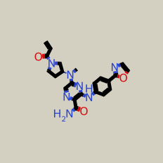 C=CC(=O)N1CC[C@@H](N(C)c2cnc(C(N)=O)c(Nc3ccc(-c4ncco4)cc3)n2)C1